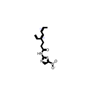 C=C/C(=C\C=C/C)CCC(=O)Nc1ncc([N+](=O)[O-])s1